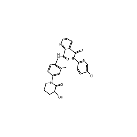 O=C(Nc1ccc(Cl)cn1)c1nccnc1C(=O)Nc1ccc(N2CCCC(O)C2=O)cc1F